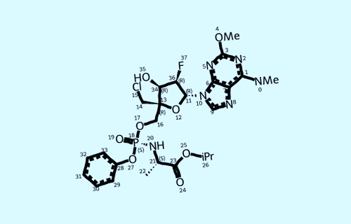 CNc1nc(OC)nc2c1ncn2[C@@H]1O[C@](CCl)(CO[P@@](=O)(N[C@@H](C)C(=O)OC(C)C)Oc2ccccc2)[C@@H](O)[C@H]1F